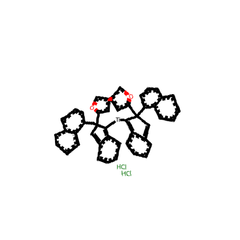 C1=c2ccccc2=[C]([Ti][C]2=c3ccccc3=CC2(c2ccco2)c2cccc3ccccc23)C1(c1ccco1)c1cccc2ccccc12.Cl.Cl